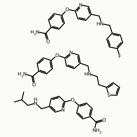 CC(C)CNCc1ccc(Oc2ccc(C(N)=O)cc2)nc1.NC(=O)c1ccc(Oc2ccc(CNCCc3cccs3)cn2)cc1.NC(=O)c1ccc(Oc2ccc(CNCc3ccc(F)cc3)cn2)cc1